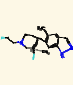 Cc1cc2cn[nH]c2cc1C1CCN(CCF)C[C@]1(C)F